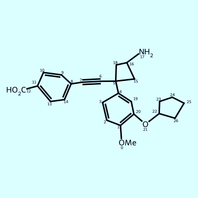 COc1ccc(C2(C#Cc3ccc(C(=O)O)cc3)CC(N)C2)cc1OC1CCCC1